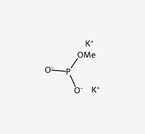 COP([O-])[O-].[K+].[K+]